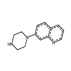 c1cnc2cc(N3CCNCC3)ccc2c1